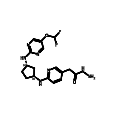 NNC(=O)Cc1ccc(N[C@H]2CC[C@H](Nc3ncc(OC(F)F)cn3)C2)nc1